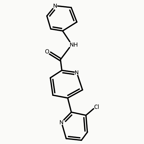 O=C(Nc1ccncc1)c1ccc(-c2ncccc2Cl)cn1